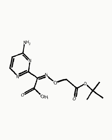 CC(C)(C)OC(=O)CON=C(C(=O)O)c1nccc(N)n1